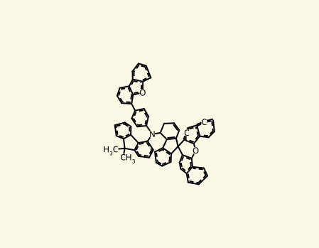 CC1(C)c2ccccc2-c2c(N(c3ccc(-c4cccc5c4oc4ccccc45)cc3)C3CC=CC4=C3c3ccccc3C43c4ccc5ccccc5c4Oc4c3ccc3ccccc43)cccc21